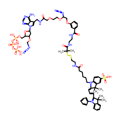 CC(C)(SSCCNC(=O)CCCCCN1/C(=C/C=C/C2=[N+](c3ccccc3)c3ccccc3C2(C)C)C(C)(C)c2cc(S(=O)(=O)O)ccc21)C(=O)NCCNC(=O)c1cccc(OCC(N=[N+]=[N-])OCCOCC(=O)NCc2cn(C3CC(OCN=[N+]=[N-])C(COP(=O)(O)OP(=O)(O)OP(=O)(O)O)O3)c3ncnc(N)c23)c1